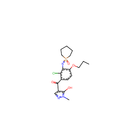 CCCOc1ccc(C(=O)c2cnn(C)c2O)c(Cl)c1N=S1(=O)CCCCC1